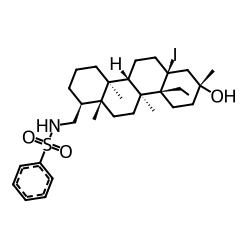 CC[C@]12CC[C@@](C)(O)C[C@@]1(I)CC[C@@H]1[C@]2(C)CC[C@]2(C)[C@@H](CNS(=O)(=O)c3ccccc3)CCC[C@@]12C